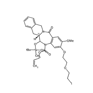 C=CCOC(=O)N1c2cc(OCCOCCI)c(OC)cc2C(=O)N2Cc3ccccc3C[C@H]2C1O[Si](C)(C)C(C)(C)C